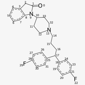 O=C1Cc2ccccc2N1C1CCN(CCCC(c2ccc(F)cc2)c2ccc(F)cc2)CC1